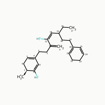 C=C(CCC1=CC[C@H](C)C(F)=C1)/C(F)=C\C(CC)CCC1=CCCC=C1